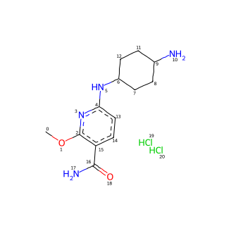 COc1nc(NC2CCC(N)CC2)ccc1C(N)=O.Cl.Cl